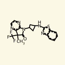 CC1(C(F)(F)F)C(=O)N(C2CC(Nc3nc4ccccc4s3)C2)c2nccnc21